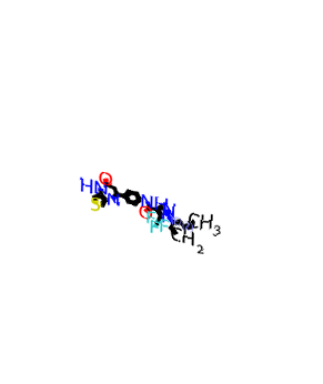 C=C/C(=C\C=C/C)n1ncc(C(=O)Nc2ccc(C3=Nc4cscc4NC(=O)C3)cc2)c1C(F)(F)F